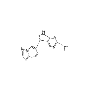 CC(C)Cc1ncc2c(-c3ccc4ncnn4c3)c[nH]c2n1